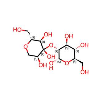 OC[C@H]1O[C@H](O)[C@H](O[C@@]2(O)[C@H](O)[C@@H](CO)OC[C@@H]2O)[C@@H](O)[C@@H]1O